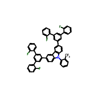 Fc1ccccc1-c1cc(-c2ccc3c(c2)c2cc(-c4cc(-c5ccccc5F)cc(-c5ccccc5F)c4)ccc2n3-c2ccccc2C(F)(F)F)cc(-c2ccccc2F)c1